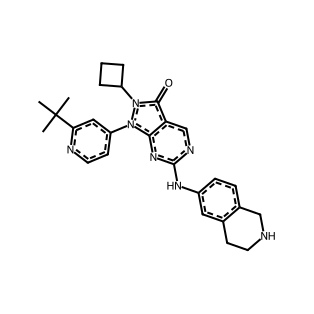 CC(C)(C)c1cc(-n2c3nc(Nc4ccc5c(c4)CCNC5)ncc3c(=O)n2C2CCC2)ccn1